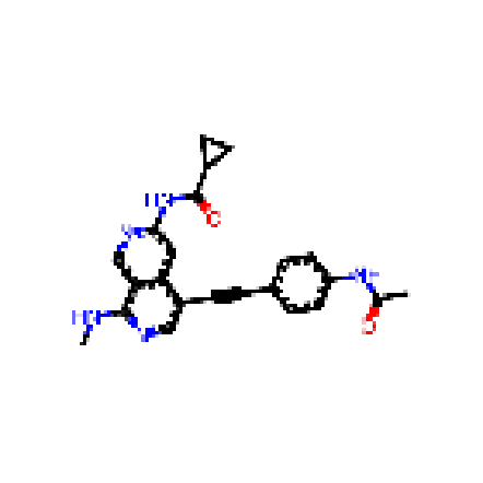 CNc1ncc(C#Cc2ccc(NC(C)=O)cc2)c2cc(NC(=O)C3CC3)ncc12